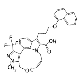 Cn1nc(C(F)(F)F)c2c1COC/C=C\Cn1c(C(=O)O)c(CCCOc3cccc4ccccc34)c3cccc-2c31